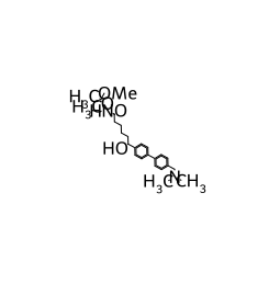 COC(C)(C)ONC(=O)CCCC[C@@H](O)c1ccc(-c2ccc(CN(C)C)cc2)cc1